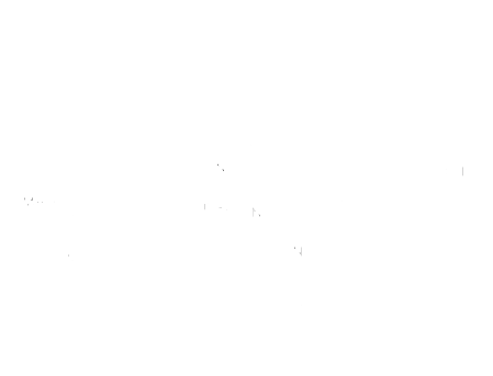 CCCCn1c(-c2ccccc2C)nc(-c2ccc(C)cc2)c1CC(NCc1ccc(C(=O)OC)cc1)C1CCCCC1